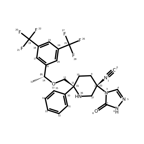 [C-]#[N+][C@]1(n2cn[nH]c2=O)CC[C@@](CO[C@H](C)c2cc(C(F)(F)F)cc(C(F)(F)F)c2)(c2ccccc2)NC1